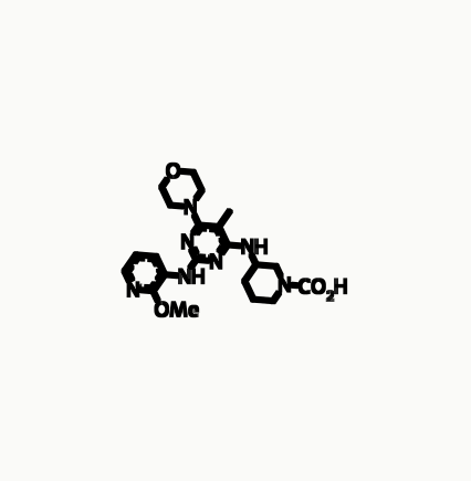 COc1ncccc1Nc1nc(NC2CCCN(C(=O)O)C2)c(C)c(N2CCOCC2)n1